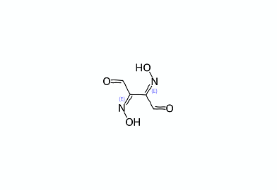 O=CC(=N/O)/C(C=O)=N\O